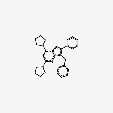 c1ccc(Cn2c(-c3ccccc3)cc3c(N4CCCC4)nc(N4CCCC4)nc32)cc1